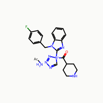 CC(N)=O.O=C(C1CCNCC1)[N+]1(c2nc3ccccc3n2Cc2ccc(F)cc2)C=NN=N1